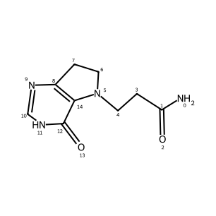 NC(=O)CCN1CCc2nc[nH]c(=O)c21